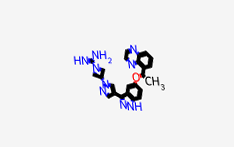 CC(Oc1ccc2[nH]nc(-c3cnn(C4CN(C(=N)N)C4)c3)c2c1)c1cccc2nccnc12